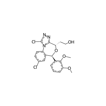 COc1cccc([C@@H]2O[C@@H](CCO)c3nnc(Cl)n3-c3ccc(Cl)cc32)c1OC